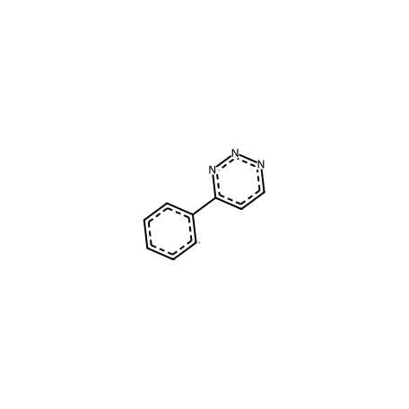 [c]1ccccc1-c1ccnnn1